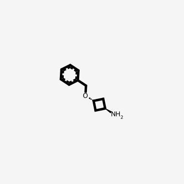 N[C@H]1C[C@H](OCc2ccccc2)C1